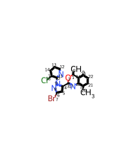 C=C1OC(c2cc(Br)nn2-c2ncccc2Cl)=Nc2c(C)cccc21